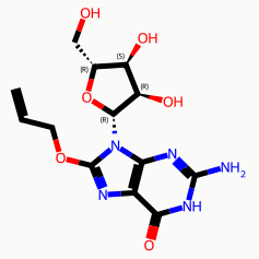 C=CCOc1nc2c(=O)[nH]c(N)nc2n1[C@@H]1O[C@H](CO)[C@@H](O)[C@H]1O